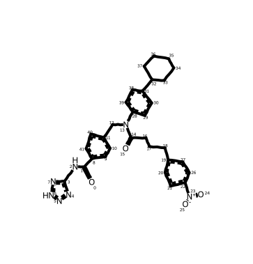 O=C(Nc1nn[nH]n1)c1ccc(CN(C(=O)CCCc2ccc([N+](=O)[O-])cc2)c2ccc(C3CCCCC3)cc2)cc1